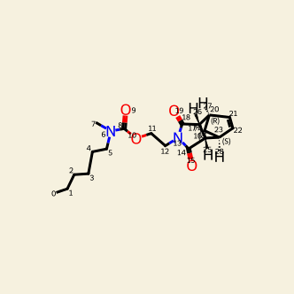 CCCCCCN(C)C(=O)OCCN1C(=O)[C@@H]2[C@H](C1=O)[C@H]1C=C[C@@H]2C1